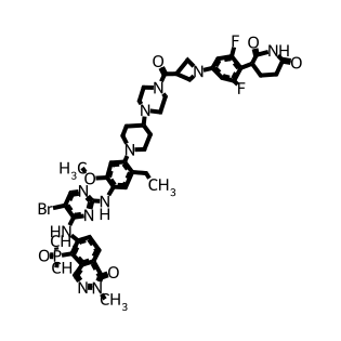 CCc1cc(Nc2ncc(Br)c(Nc3ccc4c(=O)n(C)ncc4c3P(C)(C)=O)n2)c(OC)cc1N1CCC(N2CCN(C(=O)C3CN(c4cc(F)c(C5CCC(=O)NC5=O)c(F)c4)C3)CC2)CC1